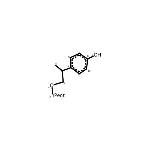 CCCCCOCC(C)c1ccc(O)cc1